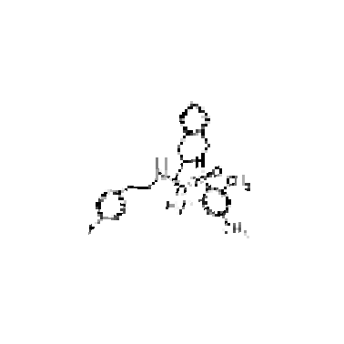 Cc1cc(C)c(S(=O)(=O)N2Cc3ccccc3CC2C(=O)NCCc2ccc(F)cc2)c(C)c1